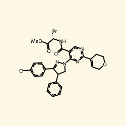 COC(=O)[C@@H](NC(=O)c1cnc(C2=CCOCC2)nc1N1CC(c2ccccc2)C(c2ccc(Cl)cc2)=N1)C(C)C